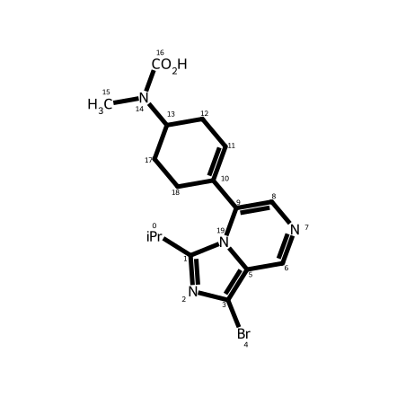 CC(C)c1nc(Br)c2cncc(C3=CCC(N(C)C(=O)O)CC3)n12